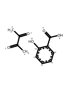 CC(=O)C(C)=O.O=C(O)c1ccccc1O